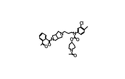 CC(=O)c1ccccc1C(=O)N1CC2CN(CCCN(C(=O)OC3CCN(C(C)=O)CC3)c3ccc(C)c(Cl)c3)CC2C1